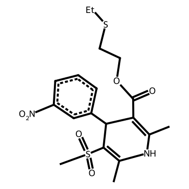 CCSCCOC(=O)C1=C(C)NC(C)=C(S(C)(=O)=O)C1c1cccc([N+](=O)[O-])c1